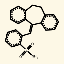 NS(=O)(=O)c1ccccc1C=C1c2ccccc2CCc2ccccc21